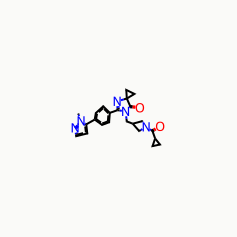 Cn1nccc1-c1ccc(C2=NC3(CC3)C(=O)N2CC2CN(C(=O)C3CC3)C2)cc1